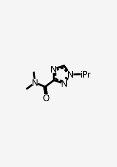 CC(C)n1cnc(C(=O)N(C)C)n1